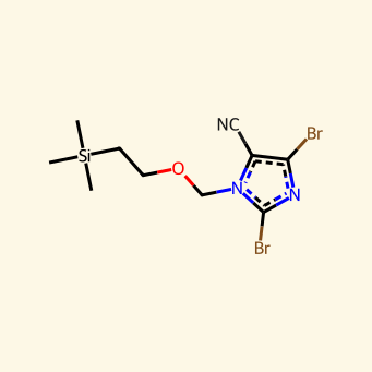 C[Si](C)(C)CCOCn1c(Br)nc(Br)c1C#N